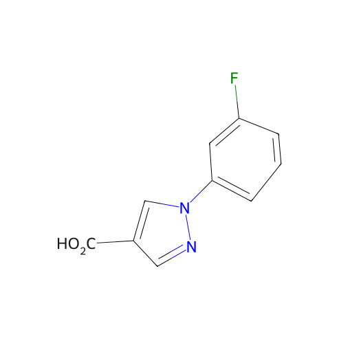 O=C(O)c1cnn(-c2cccc(F)c2)c1